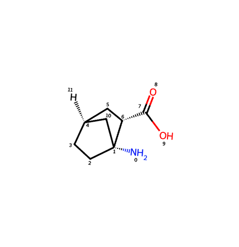 N[C@@]12CC[C@@H](C[C@@H]1C(=O)O)C2